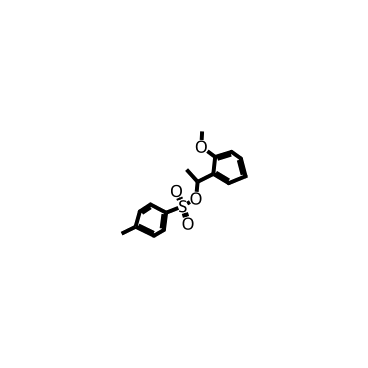 COc1ccccc1C(C)OS(=O)(=O)c1ccc(C)cc1